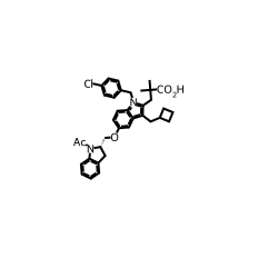 CC(=O)N1c2ccccc2C[C@H]1COc1ccc2c(c1)c(CC1CCC1)c(CC(C)(C)C(=O)O)n2Cc1ccc(Cl)cc1